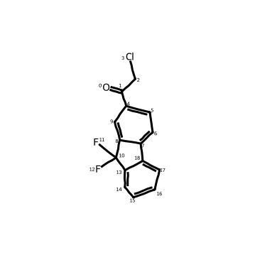 O=C(CCl)c1ccc2c(c1)C(F)(F)c1ccccc1-2